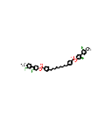 N#Cc1ccc(-c2ccc(OC(=O)c3ccc(CCCCCCCCCc4ccc(C(=O)Oc5ccc(-c6ccc(C#N)c(F)c6)c(F)c5)cc4)cc3)cc2F)cc1F